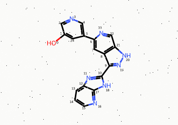 Oc1cncc(-c2cc3c(-c4nc5cccnc5[nH]4)n[nH]c3cn2)c1